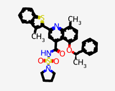 Cc1c(-c2cc(C(=O)NS(=O)(=O)N3CCCC3)c3c(O[C@H](C)c4ccccc4)ccc(C)c3n2)sc2ccccc12